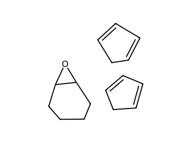 C1=CCC=C1.C1=CCC=C1.C1CCC2OC2C1